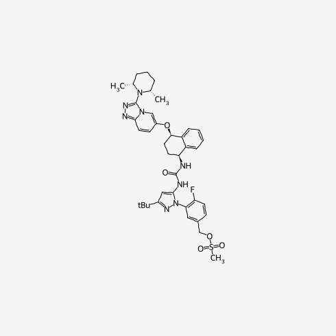 C[C@@H]1CCC[C@H](C)N1c1nnc2ccc(O[C@@H]3CC[C@H](NC(=O)Nc4cc(C(C)(C)C)nn4-c4cc(COS(C)(=O)=O)ccc4F)c4ccccc43)cn12